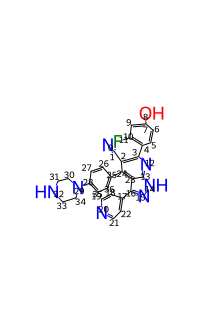 N#Cc1c(-c2ccc(O)cc2F)nc2[nH]nc(-c3ccncc3)c2c1-c1ccc(N2CCNCC2)cc1